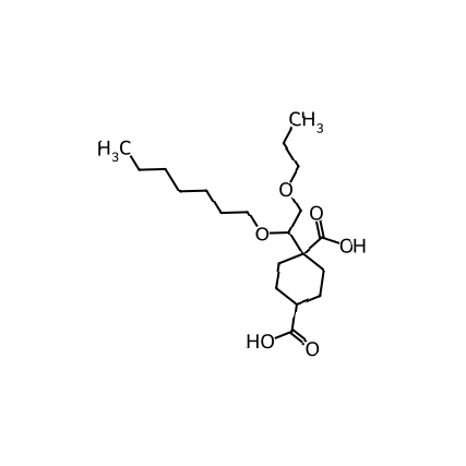 CCCCCCCOC(COCCC)C1(C(=O)O)CCC(C(=O)O)CC1